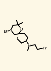 CCN1CC(C)(C)O[C@]2(CC[C@H](N(C)CCC(C)C)CC2)C1